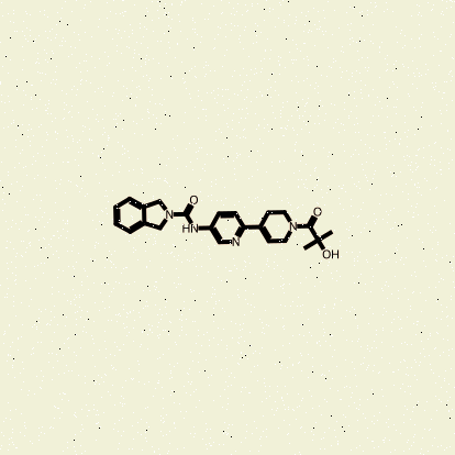 CC(C)(O)C(=O)N1CC=C(c2ccc(NC(=O)N3Cc4ccccc4C3)cn2)CC1